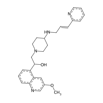 COc1cnc2cccc(C(O)CN3CCC(NC/C=C/c4ccccn4)CC3)c2c1